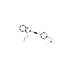 O=C(O)Nc1ccc(C#Cc2nc3ccccc3n2CCF)cn1